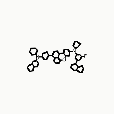 Fc1cc(-c2cccc3ccccc23)cc(N(c2ccccc2)c2ccc3c(c2)Oc2cccc4c(-c5ccc(N(c6ccccc6)c6ccc7ccccc7c6)cc5)ccc-3c24)c1